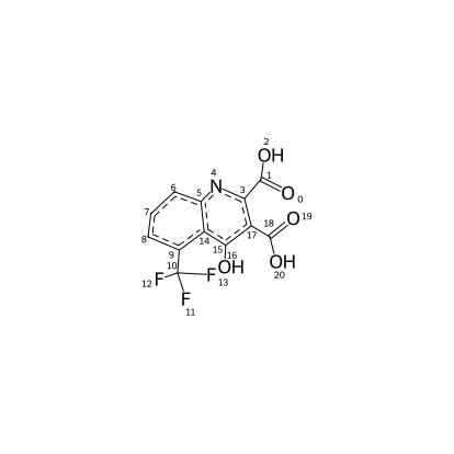 O=C(O)c1nc2cccc(C(F)(F)F)c2c(O)c1C(=O)O